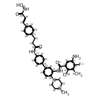 Cc1c(F)c(N)cc(C(=O)Nc2cc(-c3ccc(NC(=O)CCc4ccc(/C=C/C(=O)NO)cc4)cc3)ccc2N2CCN(C)CC2)c1Cl